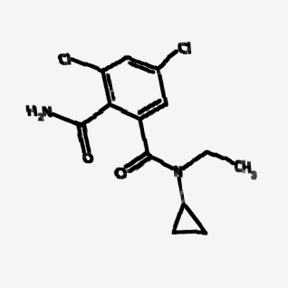 CCN(C(=O)c1cc(Cl)cc(Cl)c1C(N)=O)C1CC1